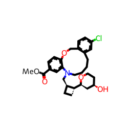 COC(=O)c1ccc2c(c1)N(C[C@@H]1CC[C@H]1[C@@H]1C[C@H](O)CCO1)CCCCc1cc(Cl)ccc1CO2